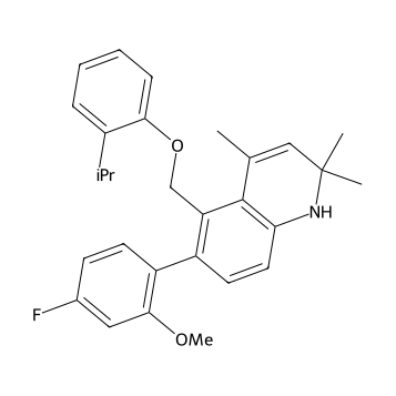 COc1cc(F)ccc1-c1ccc2c(c1COc1ccccc1C(C)C)C(C)=CC(C)(C)N2